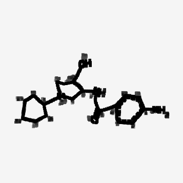 Nc1ccc(C(=O)NC2CN(C3CCCCC3)CC2O)cc1